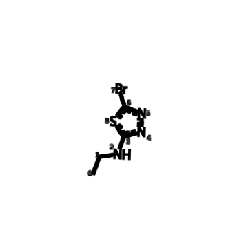 CCNc1nnc(Br)s1